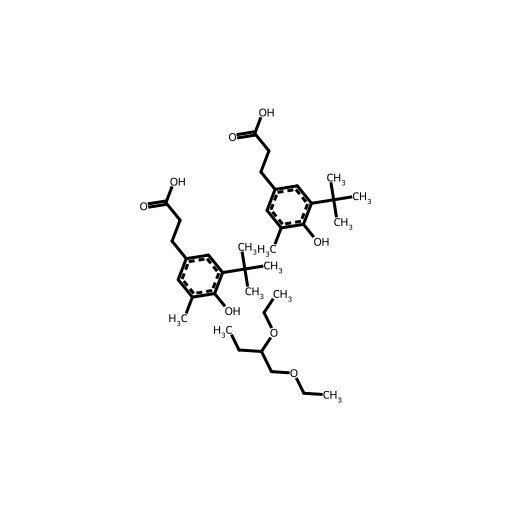 CCOCC(CC)OCC.Cc1cc(CCC(=O)O)cc(C(C)(C)C)c1O.Cc1cc(CCC(=O)O)cc(C(C)(C)C)c1O